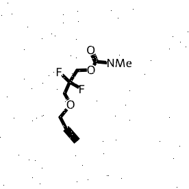 C#CCOCC(F)(F)COC(=O)NC